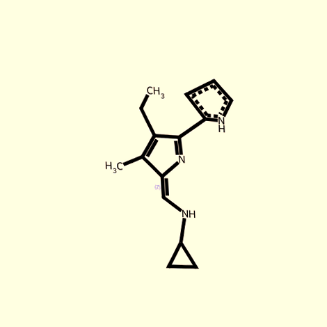 CCC1=C(C)/C(=C/NC2CC2)N=C1c1ccc[nH]1